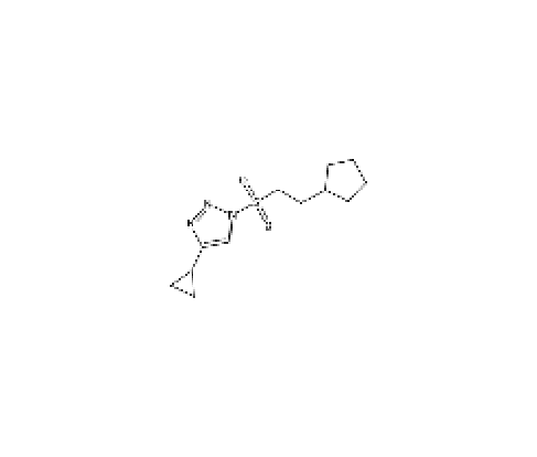 O=S(=O)(CCC1CCCC1)n1cc(C2CC2)nn1